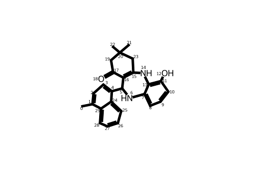 Cc1ccc(C2Nc3cccc(O)c3NC3=C2C(=O)CC(C)(C)C3)c2ccccc12